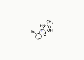 CC(=O)N/C(=C/c1ccccc1Br)C(=O)O